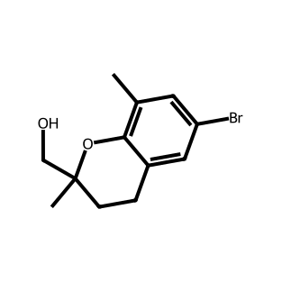 Cc1cc(Br)cc2c1OC(C)(CO)CC2